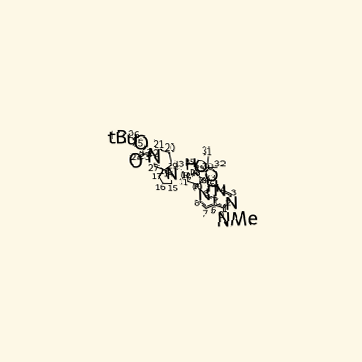 CNc1ncnc2c1ccn2[C@@H]1C[C@H](CN2CCCC23CCCN(C(=O)OC(C)(C)C)C3)[C@H]2OC(C)(C)O[C@H]21